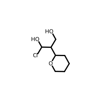 OCC(C(O)Cl)C1CCCCO1